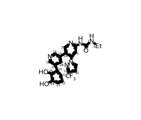 CCNC(=O)Nc1cc(-n2ccc(C(F)(F)F)n2)c(-c2cncc(-c3cccc(O)c3O)c2)cn1